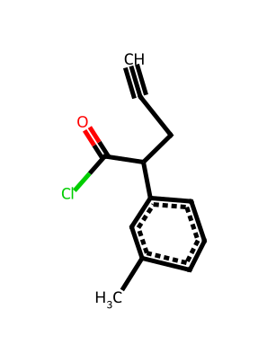 C#CCC(C(=O)Cl)c1cccc(C)c1